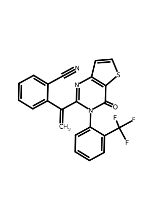 C=C(c1ccccc1C#N)c1nc2ccsc2c(=O)n1-c1ccccc1C(F)(F)F